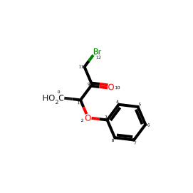 O=C(O)C(Oc1ccccc1)C(=O)CBr